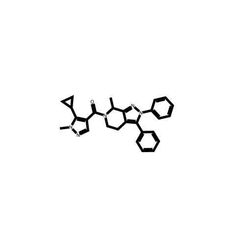 CC1c2nn(-c3ccccc3)c(-c3ccccc3)c2CCN1C(=O)c1cnn(C)c1C1CC1